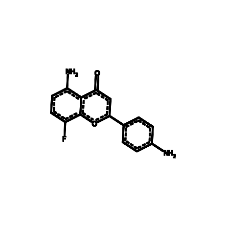 Nc1ccc(-c2cc(=O)c3c(N)ccc(F)c3o2)cc1